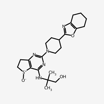 CC(C)(CO)Nc1nc(N2CCC(c3nc4c(o3)CCCC4)CC2)nc2c1[S+]([O-])CC2